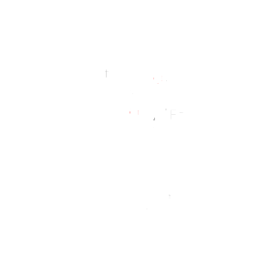 CCC(=O)OC(CC)C1CCCCC1